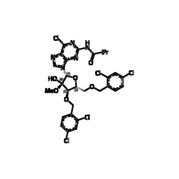 CO[C@]1(O)[C@H](OCc2ccc(Cl)cc2Cl)[C@@H](COCc2ccc(Cl)cc2Cl)O[C@H]1n1cnc2c(Cl)nc(NC(=O)C(C)C)nc21